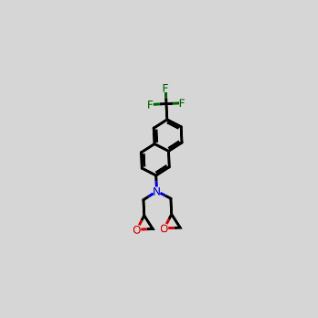 FC(F)(F)c1ccc2cc(N(CC3CO3)CC3CO3)ccc2c1